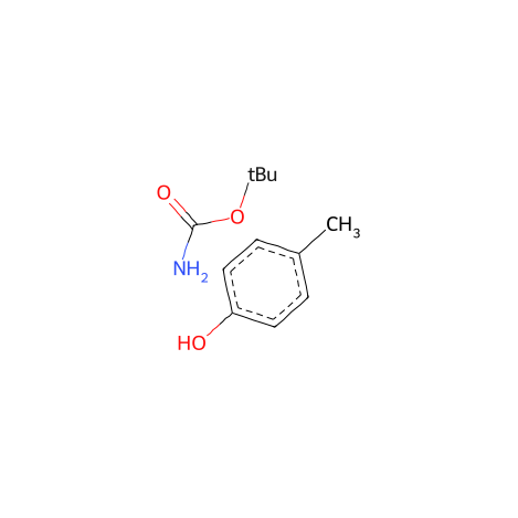 CC(C)(C)OC(N)=O.Cc1ccc(O)cc1